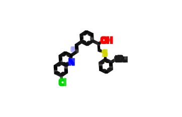 CC(C)(C)c1ccccc1SCC(O)c1cccc(/C=C/c2ccc3ccc(Cl)cc3n2)c1